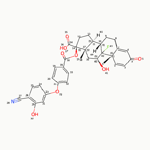 C[C@]12C=CC(=O)C=C1CC[C@H]1[C@@H]3CC[C@@](OC(=O)c4ccc(Oc5ccc(C#N)c(O)c5)cc4)(C(=O)O)[C@@]3(C)C[C@H](O)C12F